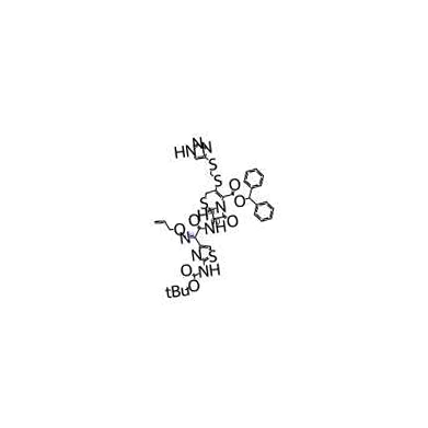 C=CCO/N=C(\C(=O)N[C@@H]1C(=O)N2C(C(=O)OC(c3ccccc3)c3ccccc3)=C(SCSc3c[nH]nn3)CS[C@@H]12)c1csc(NC(=O)OC(C)(C)C)n1